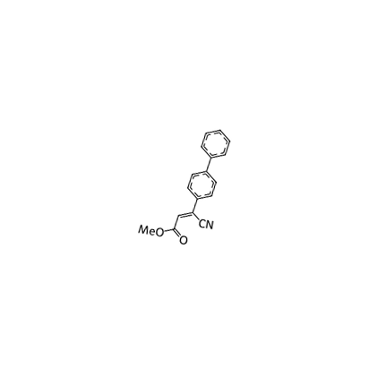 COC(=O)/C=C(\C#N)c1ccc(-c2ccccc2)cc1